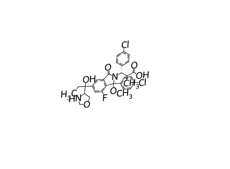 CCC(O)(c1cc(F)c2c(c1)C(=O)N([C@H](c1ccc(Cl)cc1)[C@H](C)C(=O)O)C2(OC)c1ccc(Cl)cc1)C1COCN1